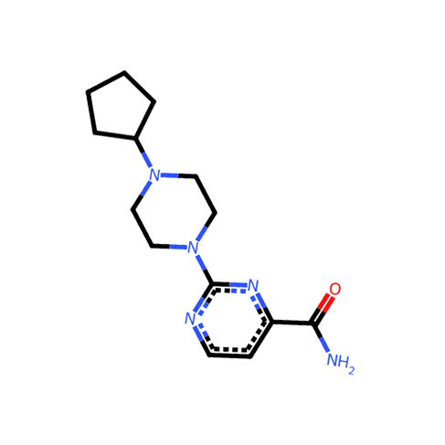 NC(=O)c1ccnc(N2CCN(C3CCCC3)CC2)n1